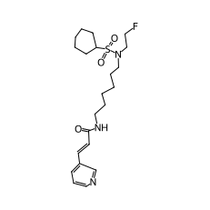 O=C(/C=C/c1cccnc1)NCCCCCCN(CCF)S(=O)(=O)C1CCCCC1